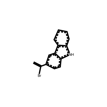 C=C(Br)c1ccc2[nH]c3ccccc3c2c1